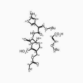 CCCCO/N=C(\C(=O)N[C@@H]1C(=O)N2C(C(=O)O)=C(COC(=O)CC(C)=O)CS[C@@H]12)c1csc(N)n1.CCCCON=CC(=O)O